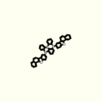 c1ccc2c(c1)B1c3ccccc3N(c3ccc4oc5c6ccccc6ccc5c4c3)c3cccc(c31)N2c1ccc2oc3c4ccccc4ccc3c2c1